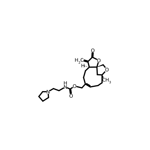 C=C1C(=O)O[C@@]23CO[C@](C)(CC/C=C(/COC(=O)NCCN4CCCC4)CC[C@@H]12)C3